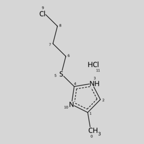 Cc1c[nH]c(SCCCCl)n1.Cl